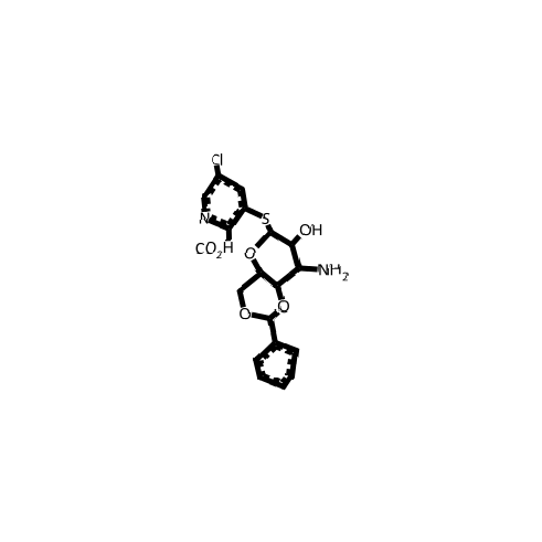 NC1C(O)C(Sc2cc(Cl)cnc2C(=O)O)OC2COC(c3ccccc3)OC21